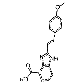 COc1ccc(/C=C/c2nc3c(C(=O)O)cccc3[nH]2)cc1